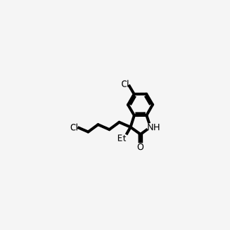 CCC1(CCCCCl)C(=O)Nc2ccc(Cl)cc21